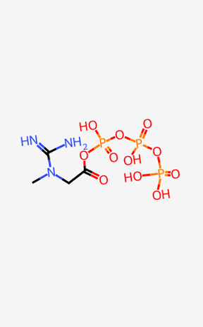 CN(CC(=O)OP(=O)(O)OP(=O)(O)OP(=O)(O)O)C(=N)N